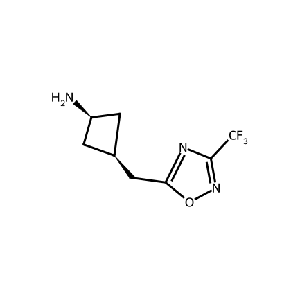 N[C@H]1C[C@@H](Cc2nc(C(F)(F)F)no2)C1